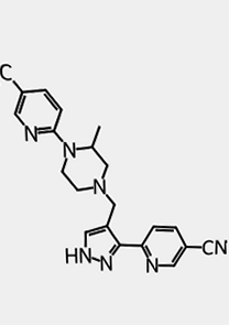 CC1CN(Cc2c[nH]nc2-c2ccc(C#N)cn2)CCN1c1ccc(C(F)(F)F)cn1